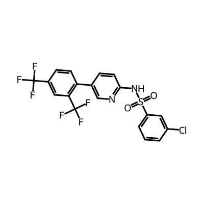 O=S(=O)(Nc1ccc(-c2ccc(C(F)(F)F)cc2C(F)(F)F)cn1)c1cccc(Cl)c1